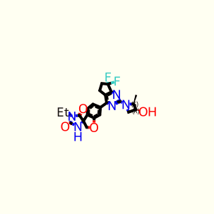 CCN1C(=O)NC2(COc3cc(-c4nc(N5C[C@@H](O)[C@@H]5C)nc5c4CCC5(F)F)ccc32)C1=O